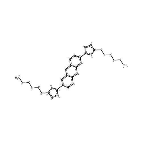 CCCCCCc1nnc(-c2ccc3cc4cc(-c5nnc(CCCCCC)s5)ccc4cc3c2)s1